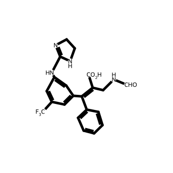 O=CNCC(C(=O)O)=C(c1ccccc1)c1cc(NC2=NCCN2)cc(C(F)(F)F)c1